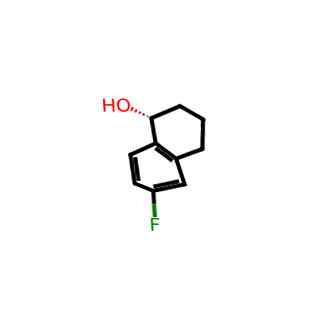 O[C@@H]1CCCc2cc(F)ccc21